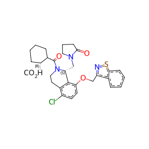 O=C(O)[C@@H]1CCCCC1C(=O)N1CCc2c(Cl)ccc(OCc3nsc4ccccc34)c2[C@H]1CN1CCCC1=O